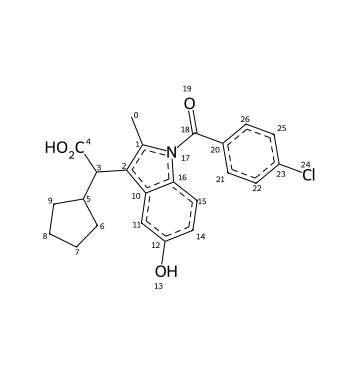 Cc1c(C(C(=O)O)C2CCCC2)c2cc(O)ccc2n1C(=O)c1ccc(Cl)cc1